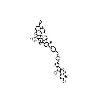 CC1(C)C(NC(=O)c2ccc(N3CCC(CN4CCN(c5ccc6c(c5)C(=O)N(C5CCC(=O)NC5=O)C6=O)CC4)CC3)c(F)c2)C2(C)c3ccnc4c(C#N)ccc(c34)O[C@@H]12